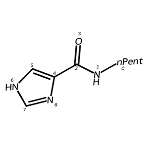 CCCCCNC(=O)c1c[nH]cn1